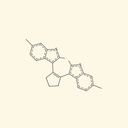 Cc1ccc2c(C3=C(c4c(C)sc5cc(C)ccc45)CCC3)c(C)sc2c1